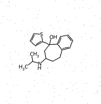 CC(C)NC1CCc2ccccc2C(O)(c2cccs2)C1